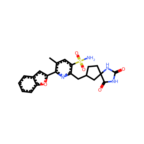 Cc1cc(S(N)(=O)=O)c(CC2CCC3(C2)NC(=O)NC3=O)nc1-c1cc2ccccc2o1